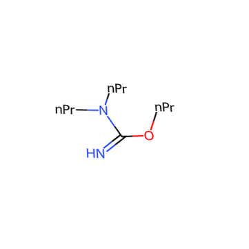 CCCOC(=N)N(CCC)CCC